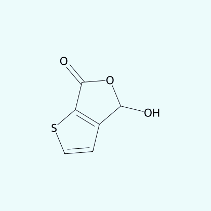 O=C1OC(O)c2ccsc21